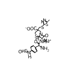 Cc1nnc(SCC2(C(=O)[O-])CS[C@@H]3C(NC(=O)C(N)c4ccc(NC=O)cc4)C(=O)N3C2)s1.[Na+]